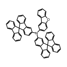 c1ccc2c(c1)-c1ccccc1C21c2ccccc2-c2cc(N(c3ccc4c(c3)C3(c5ccccc5-c5ccccc53)c3ccccc3-4)c3ccc4oc5ccccc5c4c3)ccc21